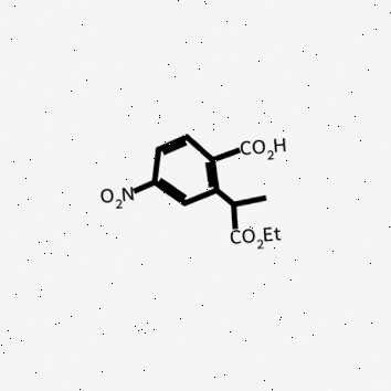 CCOC(=O)C(C)c1cc([N+](=O)[O-])ccc1C(=O)O